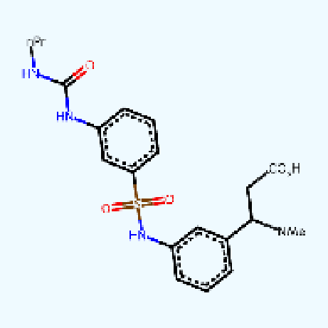 CCCNC(=O)Nc1cccc(S(=O)(=O)Nc2cccc(C(CC(=O)O)NC)c2)c1